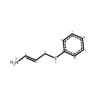 NC=CCSc1ccccc1